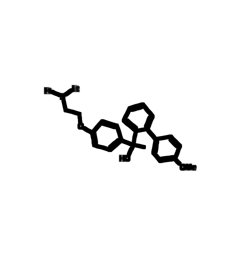 CCN(CC)CCOc1ccc(C(C)(O)c2ccccc2-c2ccc(OC)cc2)cc1